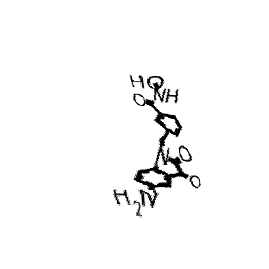 Nc1ccc2c(c1)C(=O)C(=O)N2Cc1cccc(C(=O)NO)c1